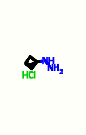 Cl.NNC12CC(C1)C2